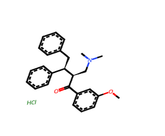 COc1cccc(C(=O)[C@H](CN(C)C)[C@H](Cc2ccccc2)c2ccccc2)c1.Cl